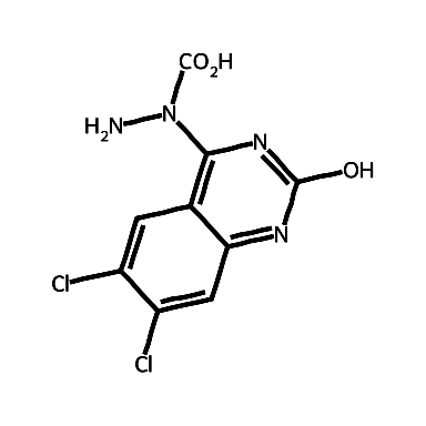 NN(C(=O)O)c1nc(O)nc2cc(Cl)c(Cl)cc12